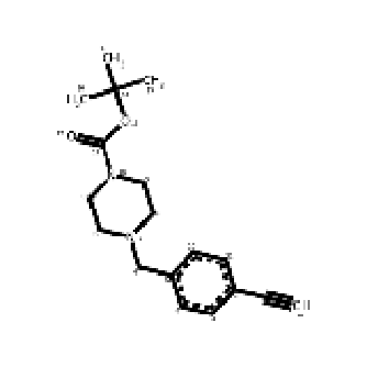 C#Cc1ccc(CN2CCN(C(=O)OC(C)(C)C)CC2)cc1